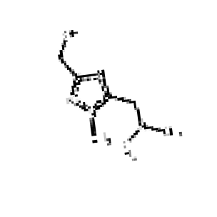 CN(C)Cc1nc(CO)nn1C